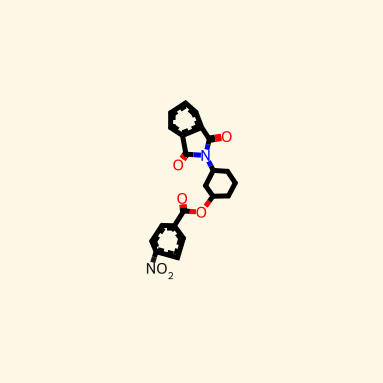 O=C(OC1CCCC(N2C(=O)c3ccccc3C2=O)C1)c1ccc([N+](=O)[O-])cc1